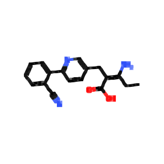 CCC(N)=C(Cc1ccc(-c2ccccc2C#N)nc1)C(=O)O